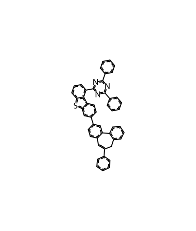 C1=C(c2ccccc2)Cc2ccccc2-c2cc(-c3ccc4c(c3)sc3cccc(-c5nc(-c6ccccc6)nc(-c6ccccc6)n5)c34)ccc21